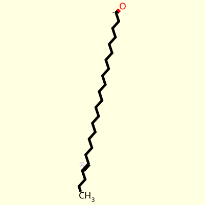 CCC/C=C/CCCCCCCCCCCCCCCCCC[C]=O